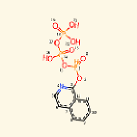 O=[PH](Oc1nccc2ccccc12)OP(=O)(O)OP(=O)(O)O